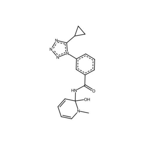 CN1C=CC=CC1(O)NC(=O)c1cccc(-n2nnnc2C2CC2)c1